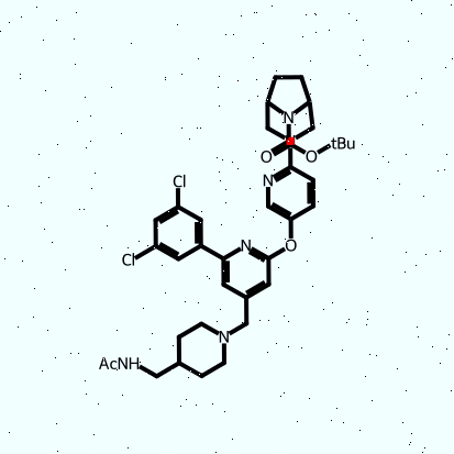 CC(=O)NCC1CCN(Cc2cc(Oc3ccc(N4CC5CCC(C4)N5C(=O)OC(C)(C)C)nc3)nc(-c3cc(Cl)cc(Cl)c3)c2)CC1